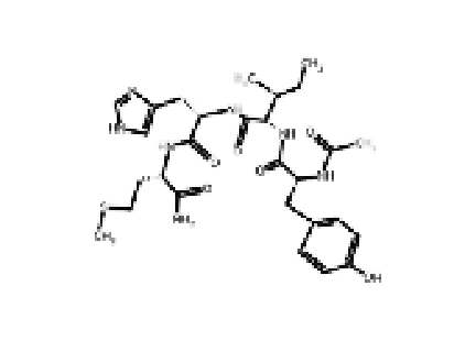 CC[C@H](C)[C@H](NC(=O)[C@H](Cc1ccc(O)cc1)NC(C)=O)C(=O)N[C@@H](Cc1c[nH]cn1)C(=O)N[C@@H](CCSC)C(N)=O